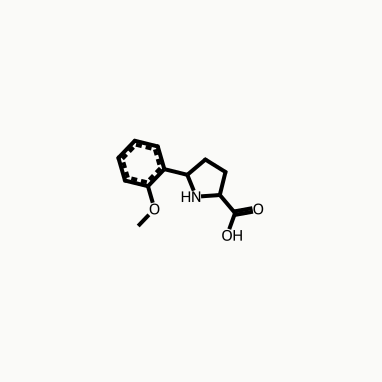 COc1ccccc1C1CCC(C(=O)O)N1